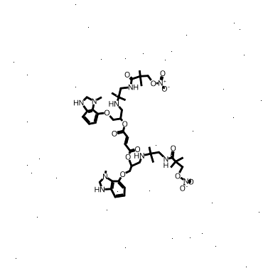 CN1CNc2cccc(OCC(CNC(C)(C)CNC(=O)C(C)(C)CO[N+](=O)[O-])OC(=O)/C=C/C(=O)OC(CNC(C)(C)CNC(=O)C(C)(C)CO[N+](=O)[O-])COc3cccc4c3N(C)CN4)c21